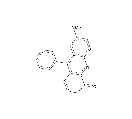 CNc1ccc2nc3c([n+](-c4ccccc4)c2c1)C=CCC3=O